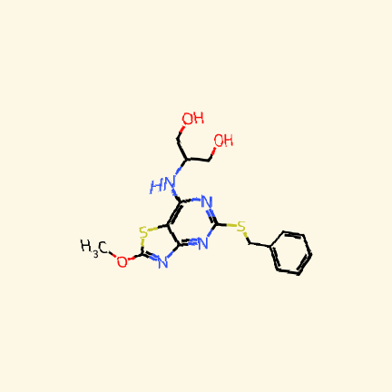 COc1nc2nc(SCc3ccccc3)nc(NC(CO)CO)c2s1